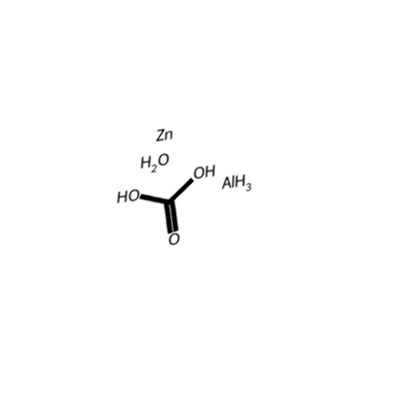 O.O=C(O)O.[AlH3].[Zn]